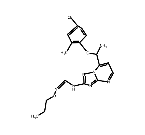 CCCO/N=C\Nc1nc2nccc(C(C)Oc3ccc(Cl)cc3C)n2n1